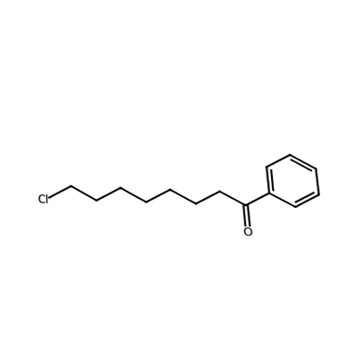 O=C(CCCCCCCCl)c1ccccc1